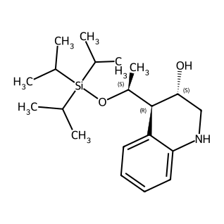 CC(C)[Si](O[C@@H](C)[C@@H]1c2ccccc2NC[C@H]1O)(C(C)C)C(C)C